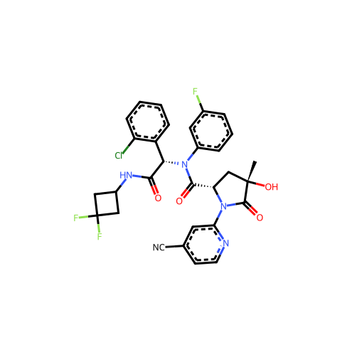 C[C@]1(O)C[C@@H](C(=O)N(c2cccc(F)c2)[C@H](C(=O)NC2CC(F)(F)C2)c2ccccc2Cl)N(c2cc(C#N)ccn2)C1=O